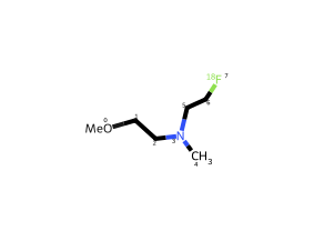 COCCN(C)CC[18F]